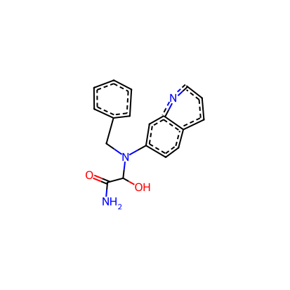 NC(=O)C(O)N(Cc1ccccc1)c1ccc2cccnc2c1